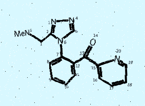 CNCc1nncn1-c1ccccc1C(=O)c1ccccn1